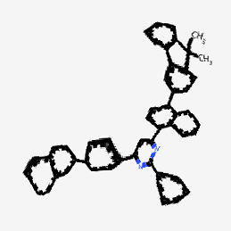 CC1(C)c2ccccc2-c2cc(-c3ccc(-c4cc(-c5ccc(-c6ccc7ccccc7c6)cc5)nc(-c5ccccc5)n4)c4ccccc34)ccc21